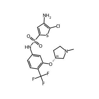 CN1CC[C@@H](Oc2cc(NS(=O)(=O)c3cc(N)c(Cl)s3)ccc2C(F)(F)F)C1